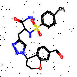 Cc1ccc(S(=O)(=O)NC(Cc2cn(C3CCOc4cc(C=O)ccc43)nn2)C(N)=O)cc1